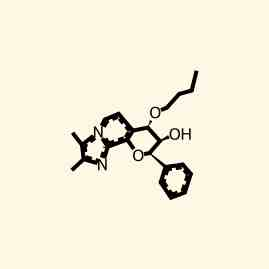 CCCCO[C@H]1c2ccn3c(C)c(C)nc3c2O[C@H](c2ccccc2)[C@@H]1O